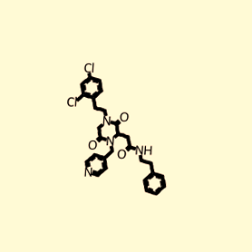 O=C(CC1C(=O)N(CCc2ccc(Cl)cc2Cl)CC(=O)N1Cc1ccncc1)NCCc1ccccc1